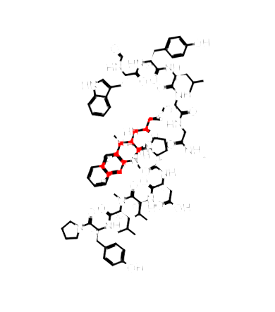 CCCC[C@@H](C(O)N1CCC[C@@H]1C(=O)N[C@@H](CC(=O)O)C(=O)N[C@H](C(=O)N(C)[C@@H](CC(C)C)C(=O)N[C@@H](Cc1ccc(O)cc1)C(=O)N1CCCC1)C(C)C)N(C)C(=O)[C@H](Cc1ccccc1)N(C)C(=O)[C@H](Cc1ccc(F)cc1)NC(=O)CSC[C@H](NC(=O)[C@H](CC(C)C)NC(=O)[C@H](Cc1ccc(O)cc1)NC(=O)[C@H](Cc1c[nH]c2ccccc12)NC=O)C(=O)NCC(N)=O